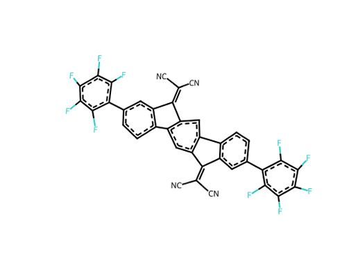 N#CC(C#N)=C1c2cc(-c3c(F)c(F)c(F)c(F)c3F)ccc2-c2cc3c(cc21)-c1ccc(-c2c(F)c(F)c(F)c(F)c2F)cc1C3=C(C#N)C#N